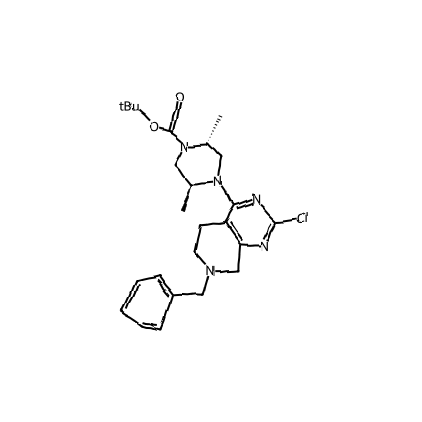 C[C@@H]1CN(c2nc(Cl)nc3c2CCN(Cc2ccccc2)C3)[C@@H](C)CN1C(=O)OC(C)(C)C